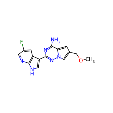 COCc1cc2c(N)nc(-c3c[nH]c4ncc(F)cc34)nn2c1